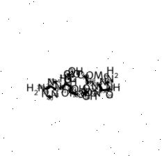 CO[C@@H]1COP(=O)(O)O[C@@H]2[C@H](O)[C@@H](COP(=O)(O)O[C@H]1Cn1cnc3c(=O)[nH]c(N)nc31)O[C@H]2n1cnc2c(N)ncnc21